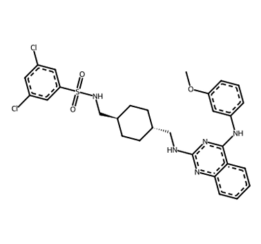 COc1cccc(Nc2nc(NC[C@H]3CC[C@H](CNS(=O)(=O)c4cc(Cl)cc(Cl)c4)CC3)nc3ccccc23)c1